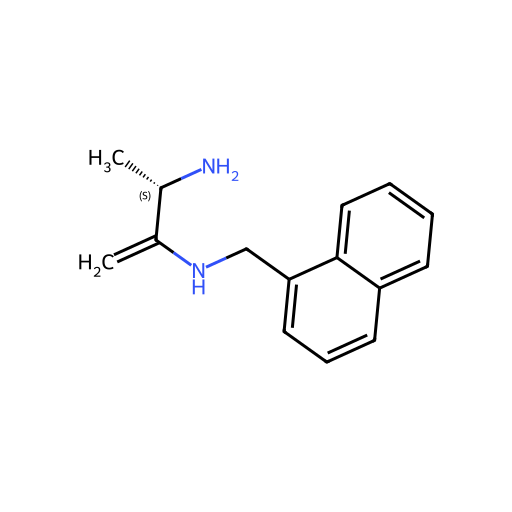 C=C(NCc1cccc2ccccc12)[C@H](C)N